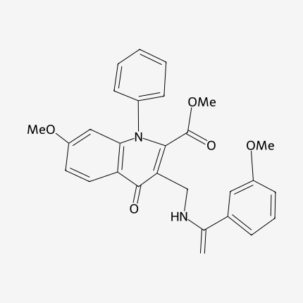 C=C(NCc1c(C(=O)OC)n(-c2ccccc2)c2cc(OC)ccc2c1=O)c1cccc(OC)c1